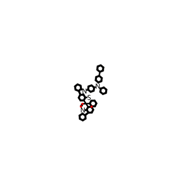 c1ccc(-c2ccc(N(c3ccccc3)c3ccc(-n4c5ccccc5c5ccc6c(c54)Sc4ccccc4C64c5ccccc5-n5c6ccccc6c6cccc4c65)cc3)cc2)cc1